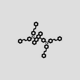 C(=Cc1ccc(N(c2ccc(C=Cc3ccccc3)cc2)c2ccc(-c3c4ccccc4cc4c(N(c5ccc(C=Cc6ccccc6)cc5)c5ccc(C=Cc6ccccc6)cc5)c5ccccc5cc34)cc2)cc1)c1ccccc1